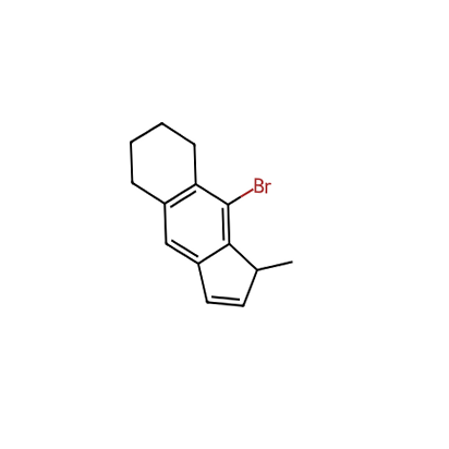 CC1C=Cc2cc3c(c(Br)c21)CCCC3